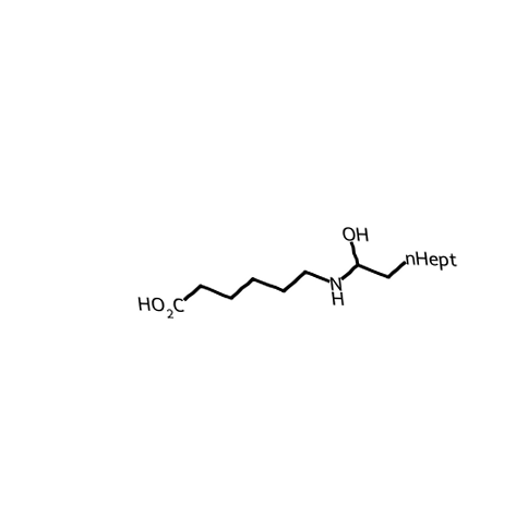 CCCCCCCCC(O)NCCCCCC(=O)O